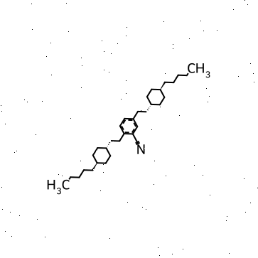 CCCCC[C@H]1CC[C@H](CCc2ccc(CC[C@H]3CC[C@H](CCCCC)CC3)c(C#N)c2)CC1